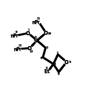 CCCO[Si](CCC1(CC)COC1)(OCCC)OCCC